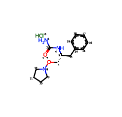 Cl.NC(=O)N[C@@H](CON1CCCC1)Cc1ccccc1